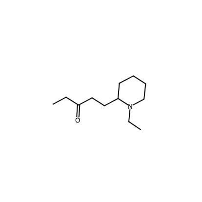 CCC(=O)CCC1CCCCN1CC